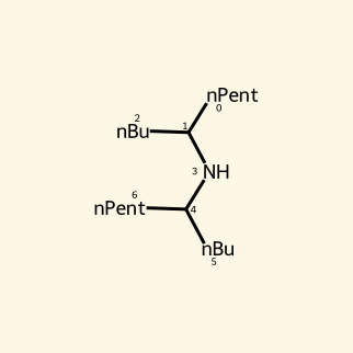 CCCCCC(CCCC)NC(CCCC)CCCCC